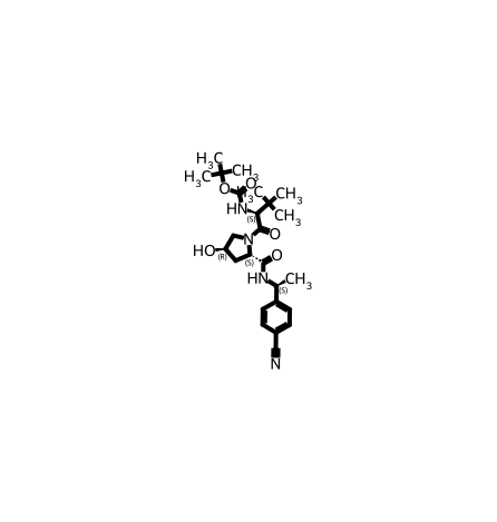 C[C@H](NC(=O)[C@@H]1C[C@@H](O)CN1C(=O)[C@@H](NC(=O)OC(C)(C)C)C(C)(C)C)c1ccc(C#N)cc1